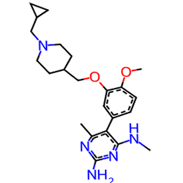 CNc1nc(N)nc(C)c1-c1ccc(OC)c(OCC2CCN(CC3CC3)CC2)c1